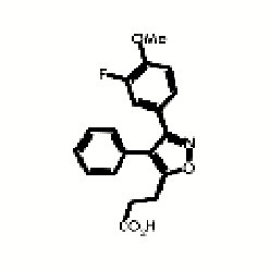 COc1ccc(-c2noc(CCC(=O)O)c2-c2ccccc2)cc1F